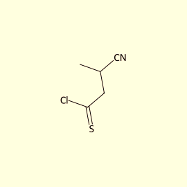 CC(C#N)CC(=S)Cl